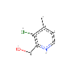 Cc1ccnc(CO)c1Cl